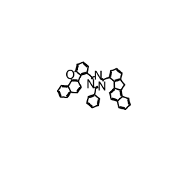 c1ccc(-c2nc(-c3cccc4c3-c3ccc5ccccc5c3C4)nc(-c3cccc4oc5c6ccccc6ccc5c34)n2)cc1